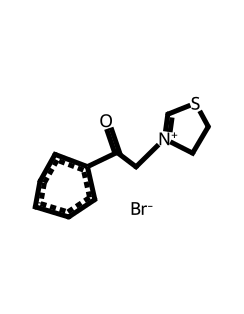 O=C(C[N+]1=CSCC1)c1ccccc1.[Br-]